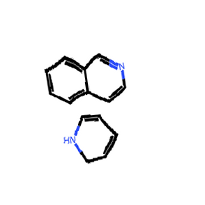 C1=CCNC=C1.c1ccc2cnccc2c1